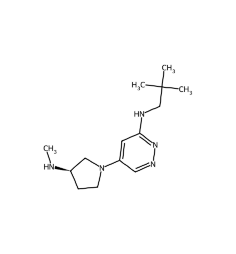 CN[C@@H]1CCN(c2cnnc(NCC(C)(C)C)c2)C1